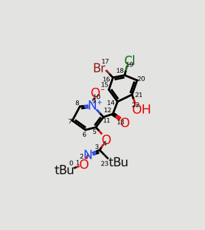 CC(C)(C)ON=C(Oc1ccc[n+]([O-])c1C(=O)c1cc(Br)c(Cl)cc1O)C(C)(C)C